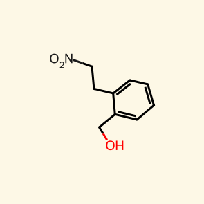 O=[N+]([O-])CCc1ccccc1CO